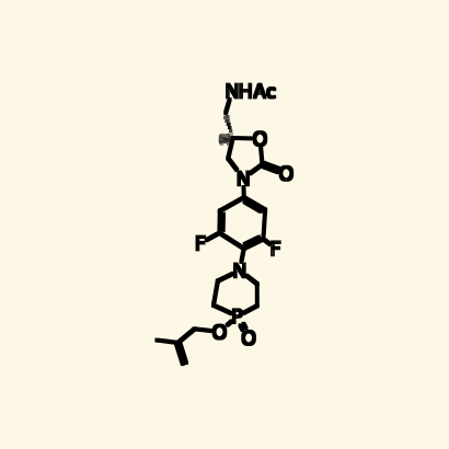 C=C(C)COP1(=O)CCN(c2c(F)cc(N3C[C@H](CNC(C)=O)OC3=O)cc2F)CC1